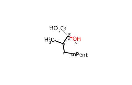 CCCCCCC(C)[C@@H](O)C(=O)O